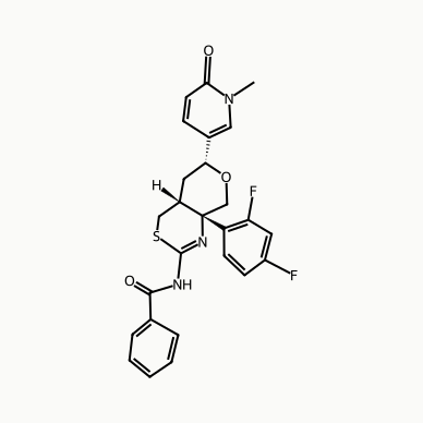 Cn1cc([C@H]2C[C@H]3CSC(NC(=O)c4ccccc4)=N[C@@]3(c3ccc(F)cc3F)CO2)ccc1=O